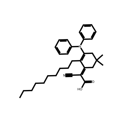 CCCCCCCCCCC1=C(N(c2ccccc2)c2ccccc2)CC(C)(C)CC1=C(C#N)C(=O)O